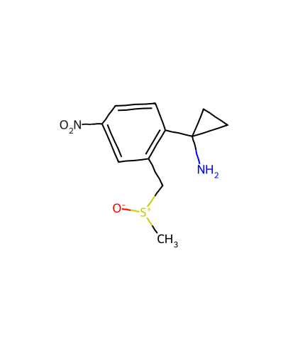 C[S+]([O-])Cc1cc([N+](=O)[O-])ccc1C1(N)CC1